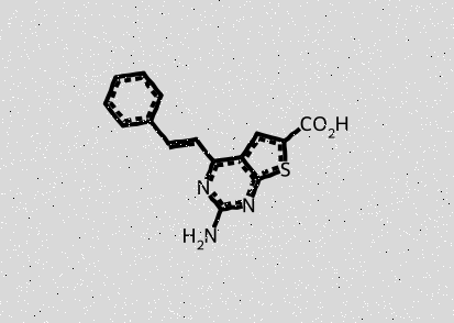 Nc1nc(C=Cc2ccccc2)c2cc(C(=O)O)sc2n1